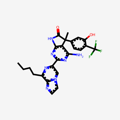 CCCCc1nc(-c2nc(N)c3c(n2)NC(=O)C3(C)c2ccc(C(F)(F)F)c(O)c2)cn2ccnc12